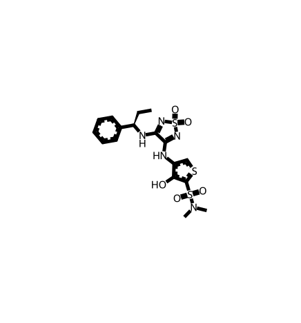 CC[C@@H](NC1=NS(=O)(=O)N=C1Nc1csc(S(=O)(=O)N(C)C)c1O)c1ccccc1